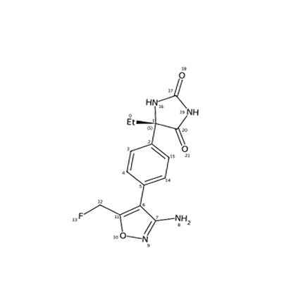 CC[C@@]1(c2ccc(-c3c(N)noc3CF)cc2)NC(=O)NC1=O